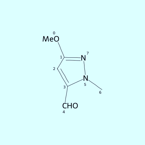 COc1cc(C=O)n(C)n1